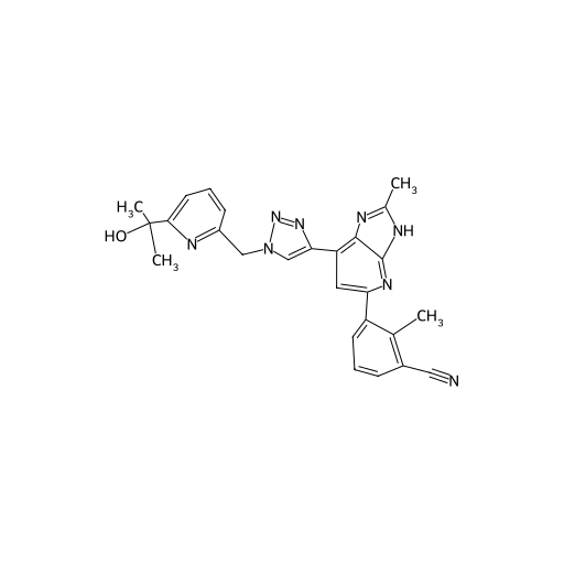 Cc1nc2c(-c3cn(Cc4cccc(C(C)(C)O)n4)nn3)cc(-c3cccc(C#N)c3C)nc2[nH]1